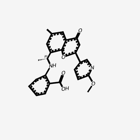 COc1ccc(-c2cc(=O)c3cc(C)cc([C@@H](C)Nc4ccccc4C(=O)O)c3o2)cn1